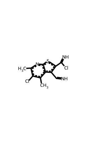 Cc1nc2sc(C(=N)Cl)c(C=N)c2c(C)c1Cl